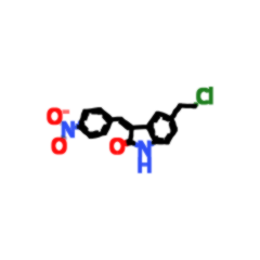 O=C1Nc2ccc(CCCl)cc2C1=Cc1ccc([N+](=O)[O-])cc1